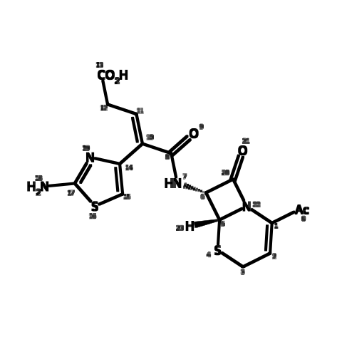 CC(=O)C1=CCS[C@@H]2[C@H](NC(=O)/C(=C/CC(=O)O)c3csc(N)n3)C(=O)N12